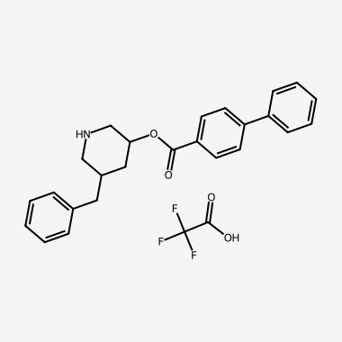 O=C(O)C(F)(F)F.O=C(OC1CNCC(Cc2ccccc2)C1)c1ccc(-c2ccccc2)cc1